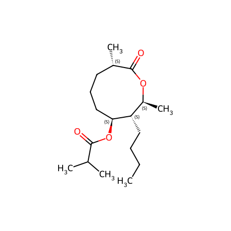 CCCC[C@H]1[C@H](C)OC(=O)[C@@H](C)CCC[C@@H]1OC(=O)C(C)C